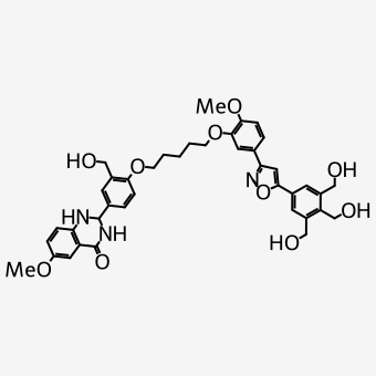 COc1ccc2c(c1)C(=O)NC(c1ccc(OCCCCCOc3cc(-c4cc(-c5cc(CO)c(CO)c(CO)c5)on4)ccc3OC)c(CO)c1)N2